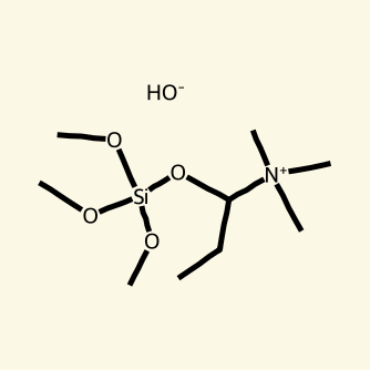 CCC(O[Si](OC)(OC)OC)[N+](C)(C)C.[OH-]